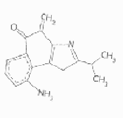 C=C1C(=O)c2cccc(N)c2C2=C1N=C(C(C)C)C2